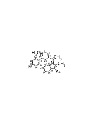 CC(=O)c1c(C)n(C(C)C2=CCN(C)C(c3ccc(F)cc3)C2)c2ccccc12